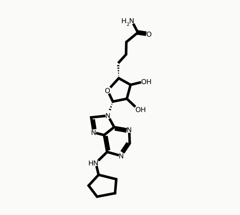 NC(=O)CCC[C@H]1O[C@@H](n2cnc3c(NC4CCCC4)ncnc32)C(O)C1O